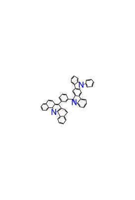 c1ccc(-n2c3ccccc3c3cc4c(-c5cccc(-c6c7ccc8ccccc8c7nc7c6ccc6ccccc67)c5)nc5ccccc5c4cc32)cc1